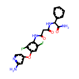 NC(=O)C(NC(=O)CC(=O)Nc1cc(F)c(Oc2ccnc(N)c2)cc1F)c1ccccc1